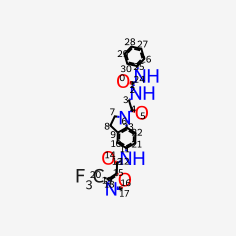 O=C(NCC(=O)N1CCc2cc(NC(=O)c3ocnc3C(F)(F)F)ccc21)Nc1ccccc1